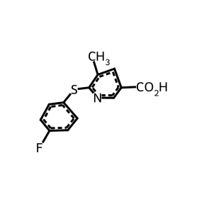 Cc1cc(C(=O)O)cnc1Sc1ccc(F)cc1